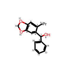 CC(C)c1cc2c(cc1C(O)c1ccccc1)OCO2